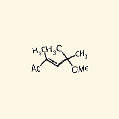 COC(C)(C)/C=C(\C)C(C)=O